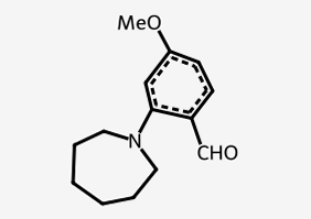 COc1ccc(C=O)c(N2CCCCCC2)c1